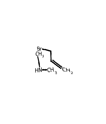 C=CCBr.CNC